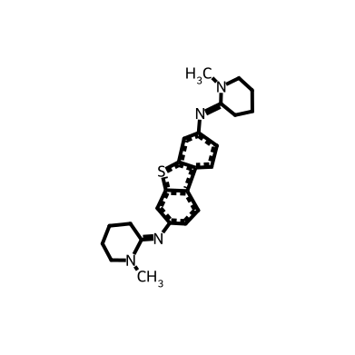 CN1CCCCC1=Nc1ccc2c(c1)sc1cc(N=C3CCCCN3C)ccc12